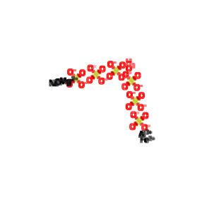 O.O=S(=O)([O-])[O-].O=S(=O)([O-])[O-].O=S(=O)([O-])[O-].O=S(=O)([O-])[O-].O=S(=O)([O-])[O-].O=S(=O)([O-])[O-].[Al+3].[Cr+3].[Fe+2].[Mg+2].[Ni+2]